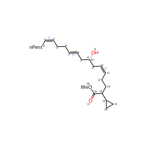 CCCCC/C=C\CC/C=C/C[C@H](O)C/C=C\CCC(C(=O)OC)C1CC1